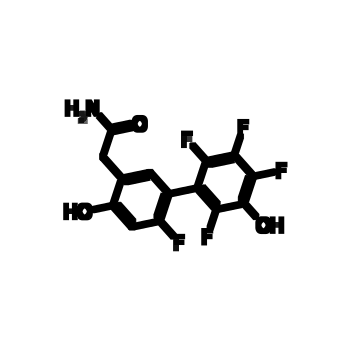 NC(=O)Cc1cc(-c2c(F)c(O)c(F)c(F)c2F)c(F)cc1O